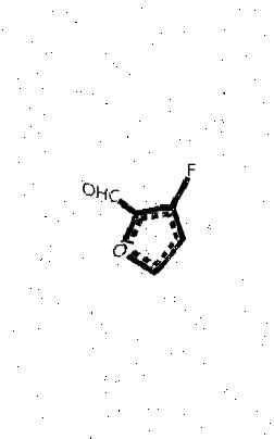 O=Cc1occc1F